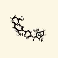 CN(c1ccc(-c2cn3c(=O)ccnc3cc2O)nn1)[C@H]1C[C@@H]2CC[C@@H](C2)[C@H]1F